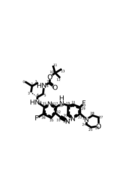 CC(C)C[C@H](CNC(=O)OC(C)(C)C)Nc1nc(Nc2cnc(N3CCOCC3)c(F)c2)c(C#N)cc1F